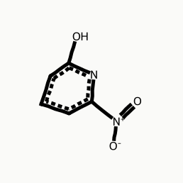 O=[N+]([O-])c1cccc(O)n1